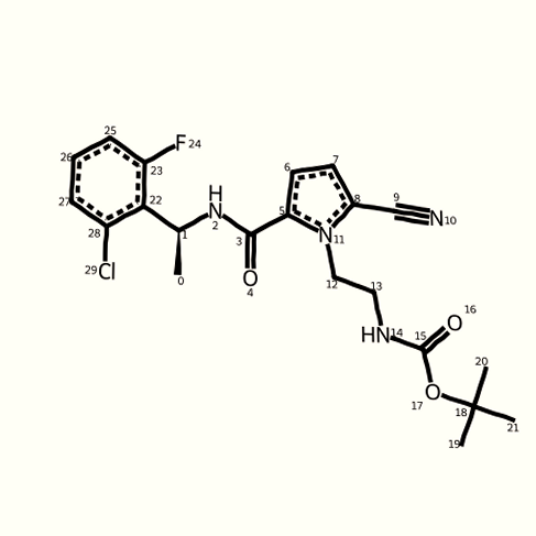 C[C@H](NC(=O)c1ccc(C#N)n1CCNC(=O)OC(C)(C)C)c1c(F)cccc1Cl